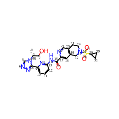 C[C@H](CO)n1cnnc1-c1cccc(NC(=O)c2cc3c(cn2)CCN(S(=O)(=O)C2CC2)C3)n1